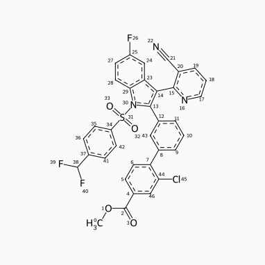 COC(=O)c1ccc(-c2cccc(-c3c(-c4ncccc4C#N)c4cc(F)ccc4n3S(=O)(=O)c3ccc(C(F)F)cc3)c2)c(Cl)c1